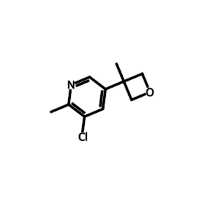 Cc1ncc(C2(C)COC2)cc1Cl